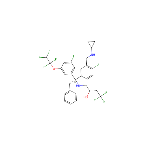 OC(CN[C@@](Cc1ccccc1)(c1cc(F)cc(OC(F)(F)C(F)F)c1)c1ccc(F)c(CNC2CC2)c1)CC(F)(F)F